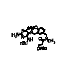 CCCCNc1nc(N)nc2cnn(Cc3cc(CN(C)C(=O)CCOC)ccc3OC)c12